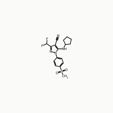 CS(=O)(=O)c1ccc(-n2nc(C(F)F)c(C#N)c2NC2CCCC2)cc1